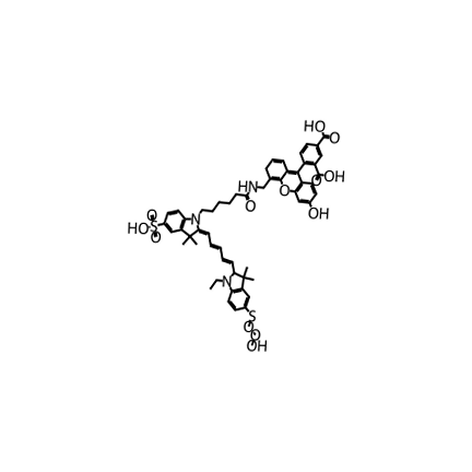 CCN1c2ccc(SOOO)cc2C(C)(C)C1/C=C/C=C/C=C1/N(CCCCCC(=O)NCC2=C3Oc4cc(O)ccc4C(c4ccc(C(=O)O)cc4C(=O)O)=C3C=CC2)c2ccc(S(=O)(=O)O)cc2C1(C)C